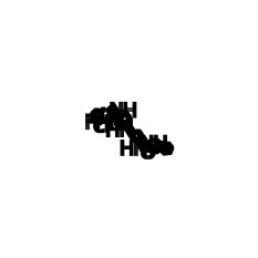 C[C@H](NC(=O)[C@H]1C[C@H](Cc2ccc(F)c(Cl)c2)CN1)C(=O)NCc1ccc(C(=N)NC(=O)OCc2ccccc2)cc1